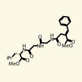 COC(=O)/C(=C/c1ccccc1)CC(=O)NCC(=O)NCC(=O)N[C@@H](CC(C)C)C(=O)OC